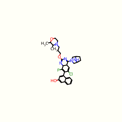 CC1OCCN(CCCOC2=NC3C(F)=C(c4cc(O)cc5ccccc45)C(Cl)=CC3C(N3CC4CCC(C3)N4)=N2)C1C